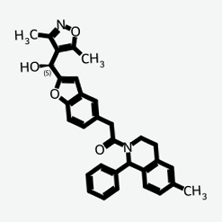 Cc1ccc2c(c1)CCN(C(=O)Cc1ccc3oc([C@@H](O)c4c(C)noc4C)cc3c1)C2c1ccccc1